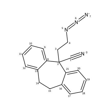 N#CC1(CCN=[N+]=[N-])c2ccccc2CCc2ccccc21